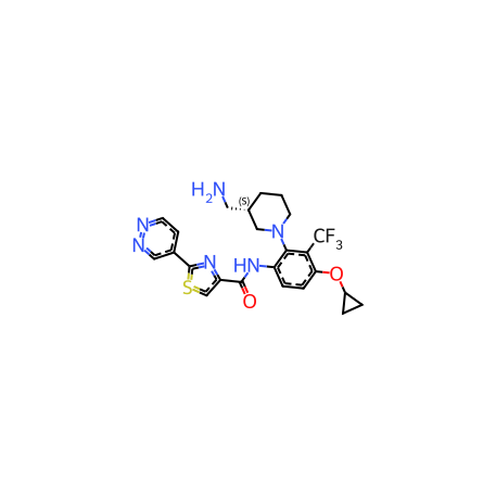 NC[C@@H]1CCCN(c2c(NC(=O)c3csc(-c4ccnnc4)n3)ccc(OC3CC3)c2C(F)(F)F)C1